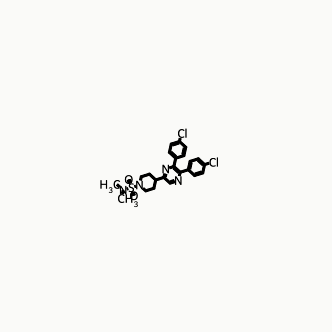 CN(C)S(=O)(=O)N1CCC(c2cnc(-c3ccc(Cl)cc3)c(-c3ccc(Cl)cc3)n2)CC1